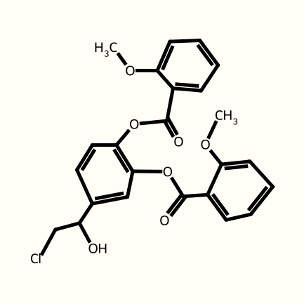 COc1ccccc1C(=O)Oc1ccc(C(O)CCl)cc1OC(=O)c1ccccc1OC